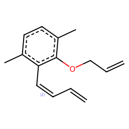 C=C/C=C\c1c(C)ccc(C)c1OCC=C